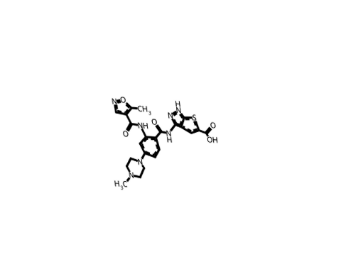 Cc1oncc1C(=O)Nc1cc(N2CCN(C)CC2)ccc1C(=O)Nc1n[nH]c2sc(C(=O)O)cc12